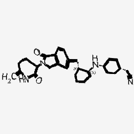 C=C1CCC(N2Cc3cc(C[C@H]4CCCC[C@@H]4N[C@H]4CC[C@@H](CC#N)CC4)ccc3C2=O)C(=O)N1